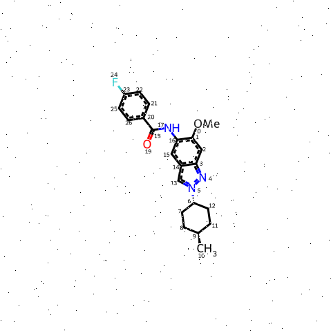 COc1cc2nn([C@H]3CC[C@H](C)CC3)cc2cc1NC(=O)c1ccc(F)cc1